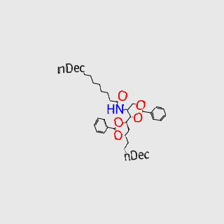 CCCCCCCCCCCCCCCCCC(=O)N[C@H]1COC(c2ccccc2)O[C@@H]1[C@@H](CCCCCCCCCCCCCC)OC(=O)c1ccccc1